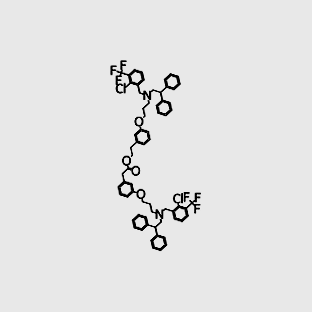 O=C(Cc1cccc(OCCCN(Cc2cccc(C(F)(F)F)c2Cl)CC(c2ccccc2)c2ccccc2)c1)OCCc1cccc(OCCCN(Cc2cccc(C(F)(F)F)c2Cl)CC(c2ccccc2)c2ccccc2)c1